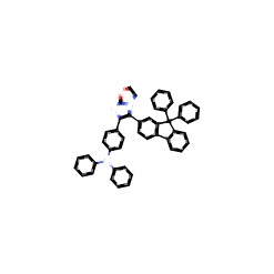 c1ccc(N(c2ccccc2)c2ccc(-c3nc4occn4c3-c3ccc4c(c3)C(c3ccccc3)(c3ccccc3)c3ccccc3-4)cc2)cc1